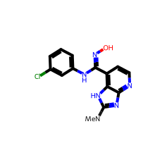 CNc1nc2nccc(/C(=N\O)Nc3cccc(Cl)c3)c2[nH]1